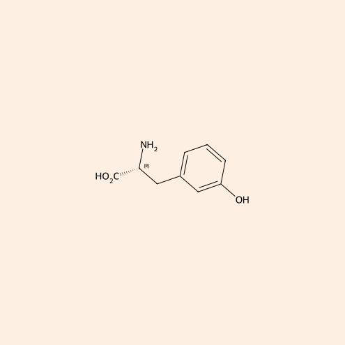 N[C@H](Cc1cccc(O)c1)C(=O)O